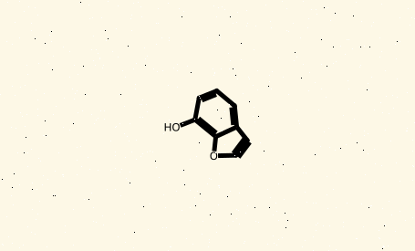 Oc1cccc2c#coc12